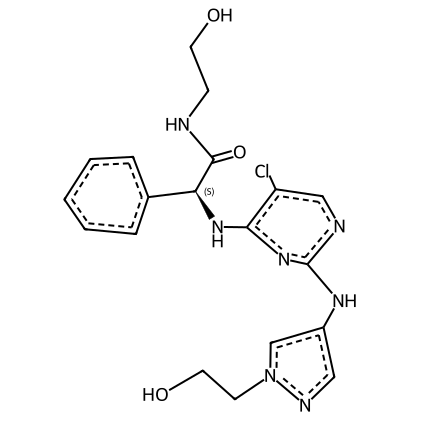 O=C(NCCO)[C@@H](Nc1nc(Nc2cnn(CCO)c2)ncc1Cl)c1ccccc1